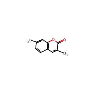 O=c1oc2cc(C(F)(F)F)ccc2cc1C(F)(F)F